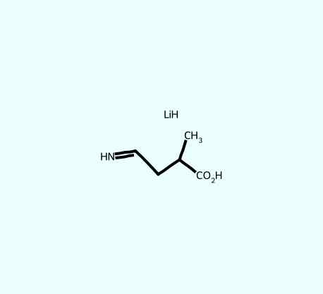 CC(CC=N)C(=O)O.[LiH]